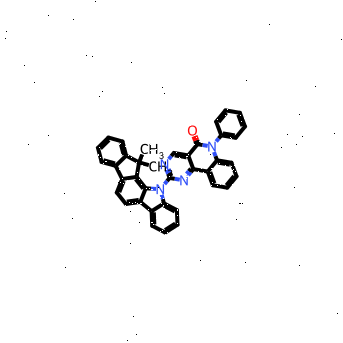 CC1(C)c2ccccc2-c2ccc3c4ccccc4n(-c4ncc5c(=O)n(-c6ccccc6)c6ccccc6c5n4)c3c21